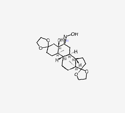 C[C@]12CC[C@H]3[C@@H](C/C(=N\O)[C@@]4(O)CC5(CC[C@]34C)OCCO5)[C@@H]1CCC21OCCO1